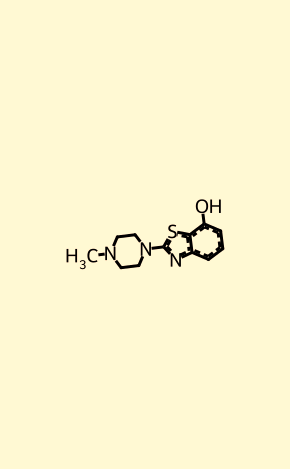 CN1CCN(c2nc3cccc(O)c3s2)CC1